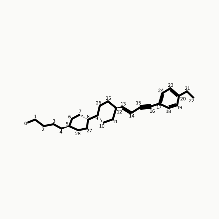 CCCCC[C@H]1CC[C@H]([C@H]2CC[C@H](C=CC#Cc3ccc(CC)cc3)CC2)CC1